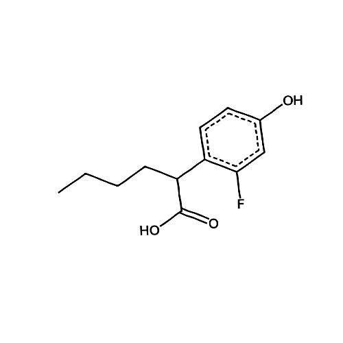 CCCCC(C(=O)O)c1ccc(O)cc1F